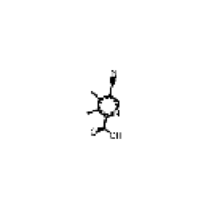 Cc1c(C#N)cnc(C(=O)O)c1C